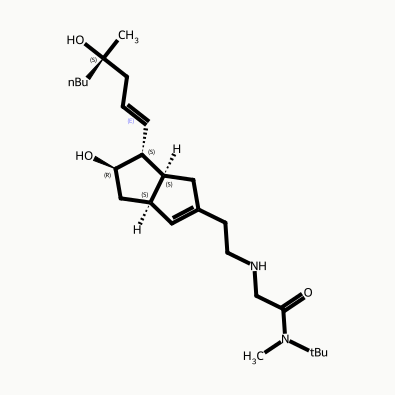 CCCC[C@](C)(O)C/C=C/[C@@H]1[C@H]2CC(CCNCC(=O)N(C)C(C)(C)C)=C[C@H]2C[C@H]1O